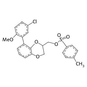 COc1ccc(Cl)cc1-c1cccc2c1OC(COS(=O)(=O)c1ccc(C)cc1)CO2